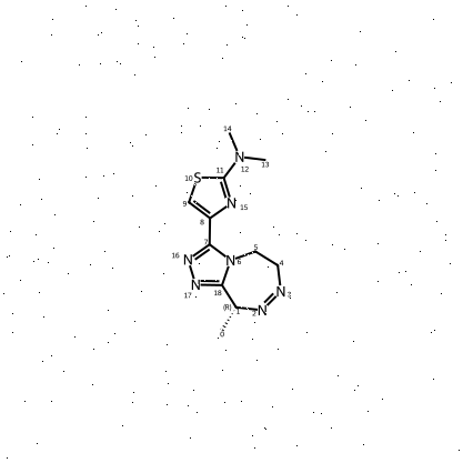 C[C@H]1N=NCCn2c(-c3csc(N(C)C)n3)nnc21